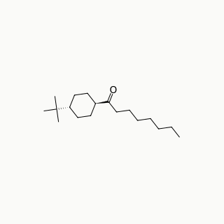 CCCCCCCC(=O)[C@H]1CC[C@H](C(C)(C)C)CC1